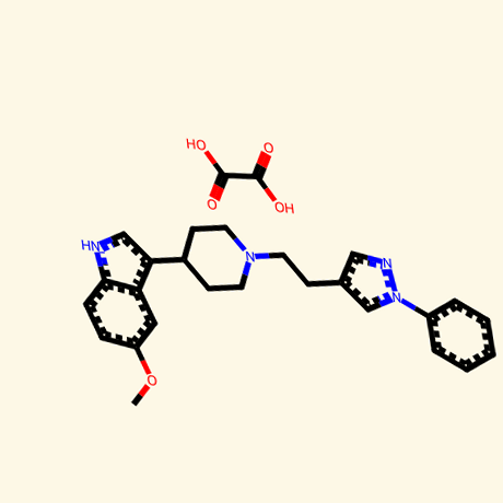 COc1ccc2[nH]cc(C3CCN(CCc4cnn(-c5ccccc5)c4)CC3)c2c1.O=C(O)C(=O)O